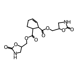 O=C1NCC(COC(=O)C2C=CCCC2C(=O)OCC2CNC(=O)O2)O1